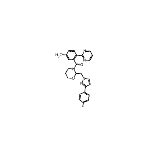 Cc1ccc(-c2ncccn2)c(C(=O)N2CCCOC2Cn2ccc(-c3ccc(F)cn3)n2)c1